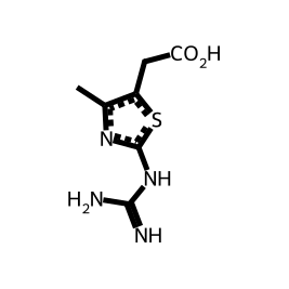 Cc1nc(NC(=N)N)sc1CC(=O)O